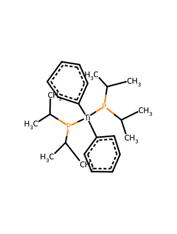 CC(C)[P](C(C)C)[Ti]([c]1ccccc1)([c]1ccccc1)[P](C(C)C)C(C)C